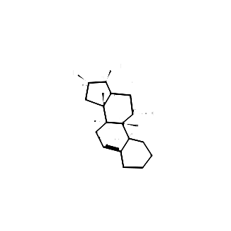 C[C@]12C[C@H](O)[C@H]3[C@@H](CC=C4CCCC[C@@]43C)[C@@H]1C[C@@H](F)[C@H]2O